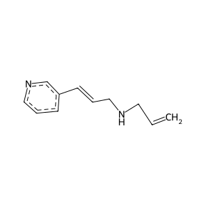 C=CCNCC=Cc1cccnc1